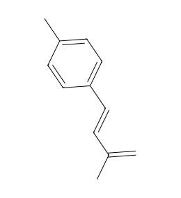 C=C(C)C=Cc1ccc(C)cc1